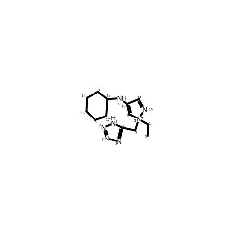 CC[N+]1(Cc2nnn[nH]2)C=C(NC2CCCCC2)C=N1